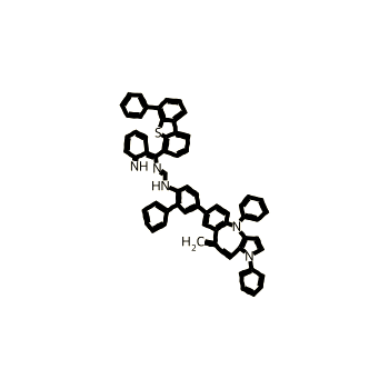 C=C1/C=C\c2c(ccn2-c2ccccc2)N(c2ccccc2)c2ccc(-c3ccc(N/C=N/C(=C4/C=CC=CC4=N)c4cccc5c4sc4c(-c6ccccc6)cccc45)c(-c4ccccc4)c3)cc21